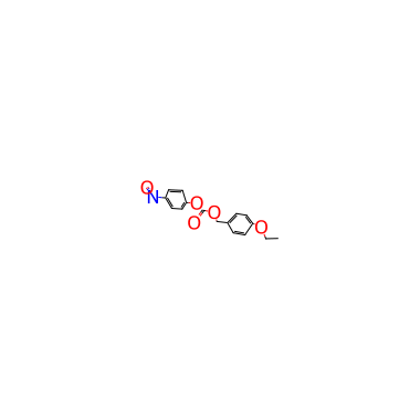 CCOc1ccc(COC(=O)Oc2ccc(N=O)cc2)cc1